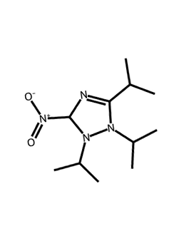 CC(C)C1=NC([N+](=O)[O-])N(C(C)C)N1C(C)C